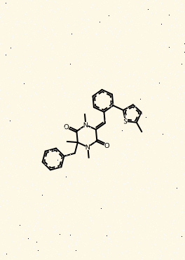 Cc1ccc(-c2ccccc2/C=C2/C(=O)N(C)C(C)(Cc3ccccc3)C(=O)N2C)s1